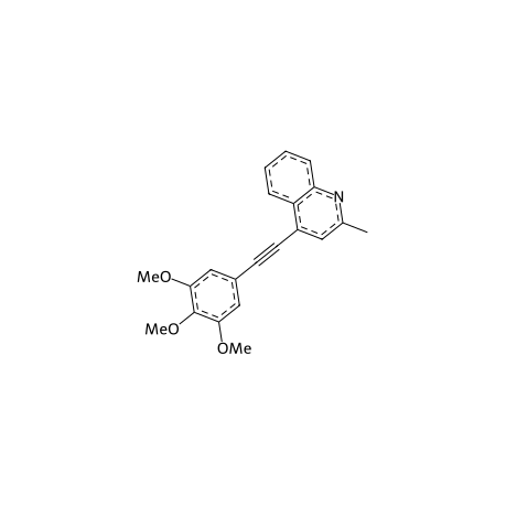 COc1cc(C#Cc2cc(C)nc3ccccc23)cc(OC)c1OC